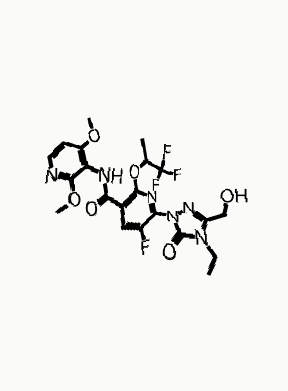 CCn1c(CO)nn(-c2nc(OC(C)C(F)(F)F)c(C(=O)Nc3c(OC)ccnc3OC)cc2F)c1=O